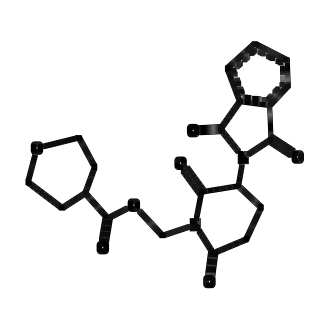 O=C(OCN1C(=O)CCC(N2C(=O)c3ccccc3C2=O)C1=O)C1CCOCC1